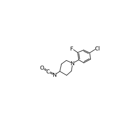 O=C=NC1CCN(c2ccc(Cl)cc2F)CC1